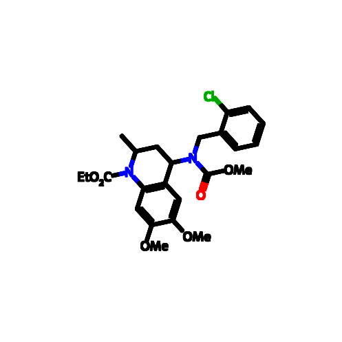 CCOC(=O)N1c2cc(OC)c(OC)cc2C(N(Cc2ccccc2Cl)C(=O)OC)CC1C